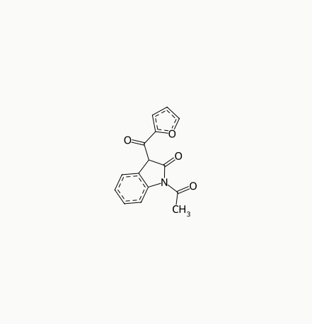 CC(=O)N1C(=O)C(C(=O)c2ccco2)c2ccccc21